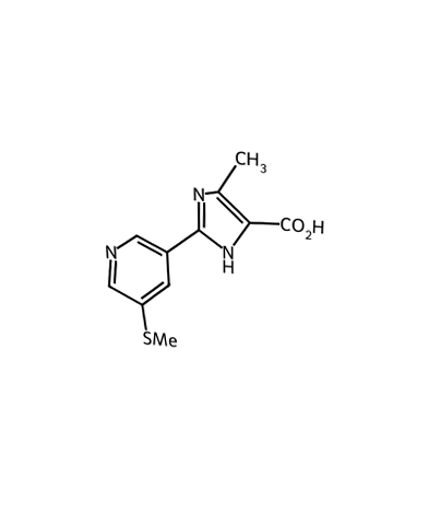 CSc1cncc(-c2nc(C)c(C(=O)O)[nH]2)c1